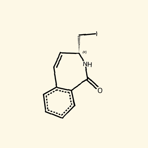 O=C1N[C@@H](CI)C=Cc2ccccc21